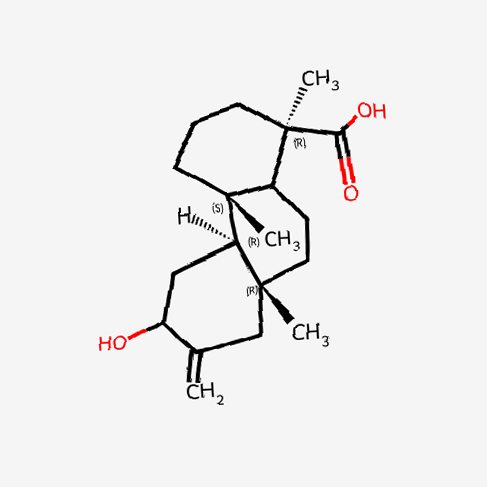 C=C1C[C@@]2(C)CCC3[C@](C)(C(=O)O)CCC[C@@]3(C)[C@@H]2CC1O